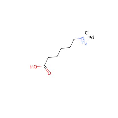 NCCCCCC(=O)O.[C].[Pd]